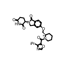 CC(C)c1ncoc1C(=O)N1CCCC[C@@H]1COc1ccc2c(c1)CN(C1CCC(=O)NC1=O)C2=O